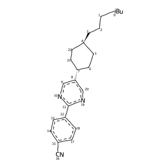 CCC(C)CCC[C@H]1CC[C@H](c2cnc(-c3ccc(C#N)cc3)nc2)CC1